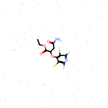 CCOC(=O)C(CC(N)=O)Oc1c(F)c(F)nc(F)c1F